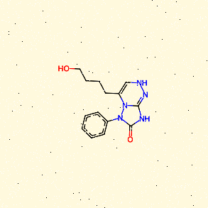 O=C1NC2=NNC=C(CCCCO)N2N1c1ccccc1